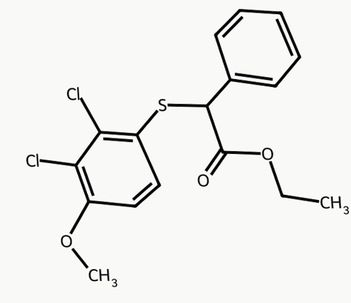 CCOC(=O)C(Sc1ccc(OC)c(Cl)c1Cl)c1ccccc1